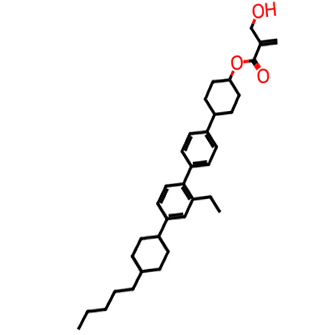 C=C(CO)C(=O)OC1CCC(c2ccc(-c3ccc(C4CCC(CCCCC)CC4)cc3CC)cc2)CC1